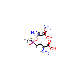 CP(=O)(O)CCC(N)C(=O)O.N.NCC(=O)O